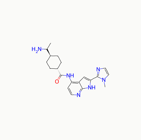 CC(N)[C@H]1CC[C@H](C(=O)Nc2ccnc3[nH]c(-c4nccn4C)cc23)CC1